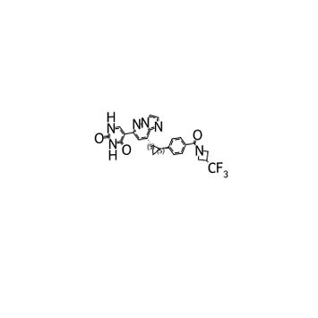 O=C(c1ccc([C@H]2C[C@@H]2c2cc(-c3c[nH]c(=O)[nH]c3=O)nn3ccnc23)cc1)N1CC(C(F)(F)F)C1